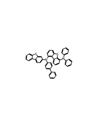 c1ccc(-c2ccc(N(c3ccc4c(c3)sc3ccccc34)c3cccc4sc5c(N(c6ccccc6)c6ccccc6)cccc5c34)cc2)cc1